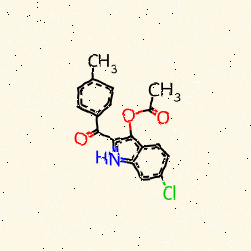 CC(=O)Oc1c(C(=O)c2ccc(C)cc2)[nH]c2cc(Cl)ccc12